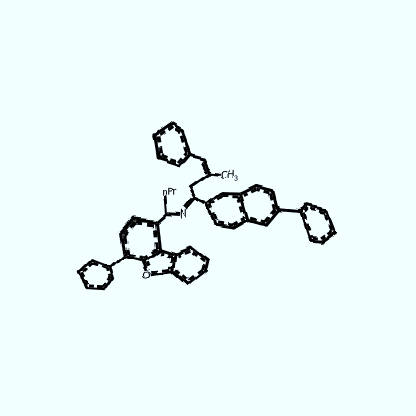 CCCC(/N=C(\C/C(C)=C\c1ccccc1)c1ccc2cc(-c3ccccc3)ccc2c1)c1ccc(-c2ccccc2)c2oc3ccccc3c12